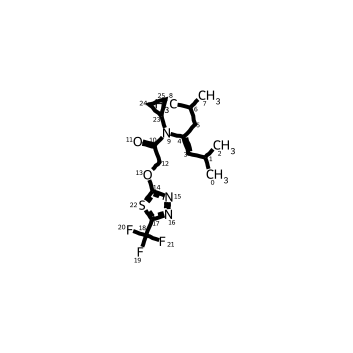 CC(C)C=C(CC(C)C)N(C(=O)COc1nnc(C(F)(F)F)s1)C1CC1